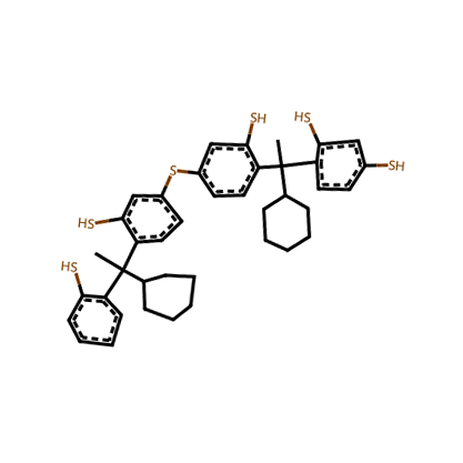 CC(c1ccccc1S)(c1ccc(Sc2ccc(C(C)(c3ccc(S)cc3S)C3CCCCC3)c(S)c2)cc1S)C1CCCCC1